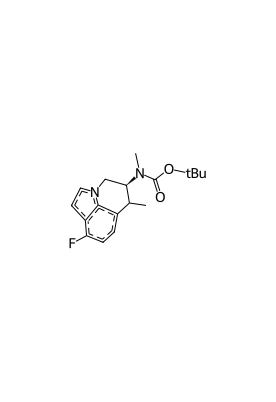 CC1c2ccc(F)c3ccn(c23)C[C@H]1N(C)C(=O)OC(C)(C)C